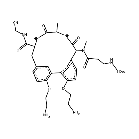 CCCCCCCCCCNCCC(=O)N(C)C1C(=O)NC(C)C(=O)NC(C(=O)NCC#N)Cc2ccc(OCCN)c(c2)-c2cc1ccc2OCCN